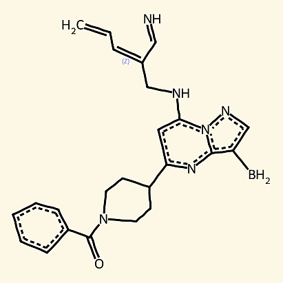 Bc1cnn2c(NC/C(C=N)=C/C=C)cc(C3CCN(C(=O)c4ccccc4)CC3)nc12